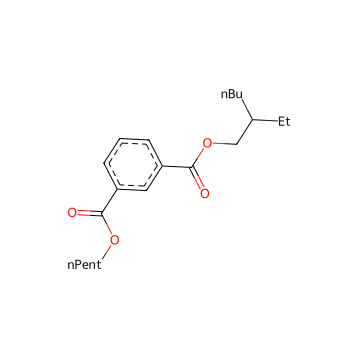 CCCCCOC(=O)c1cccc(C(=O)OCC(CC)CCCC)c1